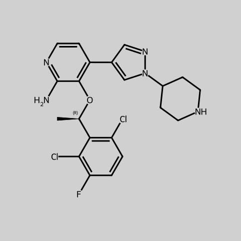 C[C@@H](Oc1c(-c2cnn(C3CCNCC3)c2)ccnc1N)c1c(Cl)ccc(F)c1Cl